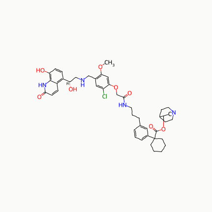 COc1cc(OCC(=O)NCCCc2cccc(C3(C(=O)OC4CN5CCC4CC5)CCCCC3)c2)c(Cl)cc1CNC[C@H](O)c1ccc(O)c2[nH]c(=O)ccc12